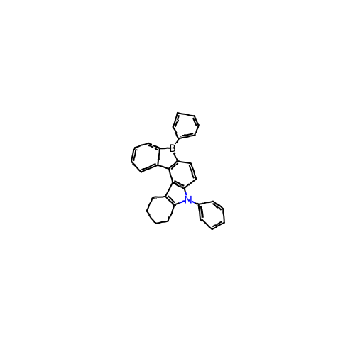 c1ccc(B2c3ccccc3-c3c2ccc2c3c3c(n2-c2ccccc2)CCCC3)cc1